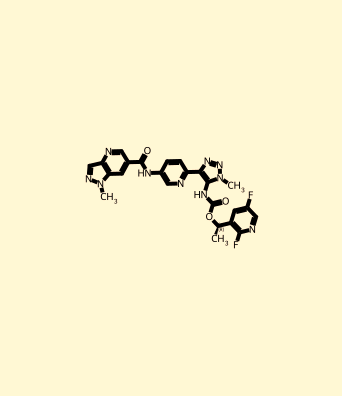 C[C@@H](OC(=O)Nc1c(-c2ccc(NC(=O)c3cnc4cnn(C)c4c3)cn2)nnn1C)c1cc(F)cnc1F